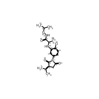 CC(C)=C1CC(=O)N(c2ccc(Cl)c(NC(C)C(=O)NOC(C)C)c2)C1=O